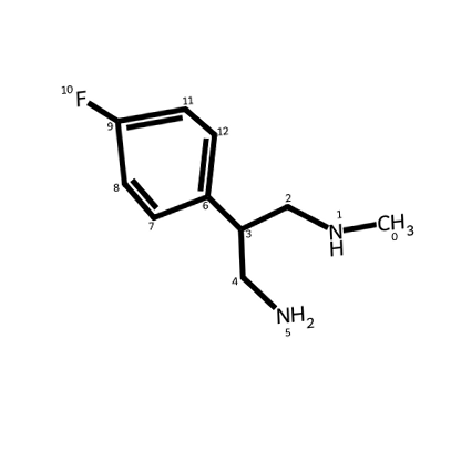 CNCC(CN)c1ccc(F)cc1